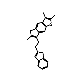 CC1=C(CCC2=Cc3ccccc3C2)c2cc3sc(C)c(C)c3cc2C1